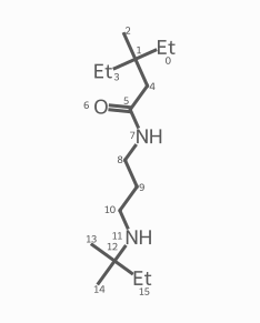 CCC(C)(CC)CC(=O)NCCCNC(C)(C)CC